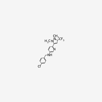 CN1C(c2ccc(NCc3ccc(Cl)cc3)cn2)=CC(C(F)(F)F)N1C